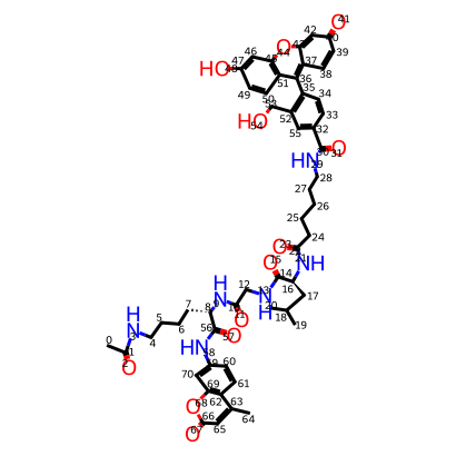 CC(=O)NCCCC[C@H](NC(=O)CNC(=O)[C@H](CC(C)C)NC(=O)CCCCCNC(=O)c1ccc(-c2c3ccc(=O)cc-3oc3cc(O)ccc23)c(CO)c1)C(=O)Nc1ccc2c(C)cc(=O)oc2c1